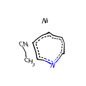 CC#N.[Ni].c1ccncc1